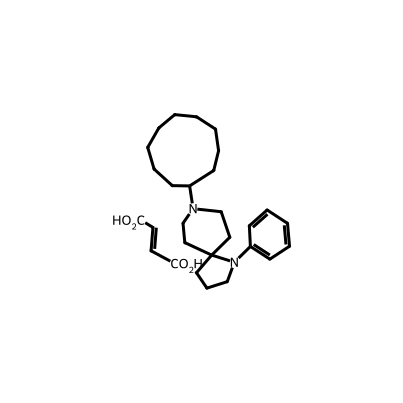 O=C(O)/C=C/C(=O)O.c1ccc(N2CCCC23CCN(C2CCCCCCCCC2)CC3)cc1